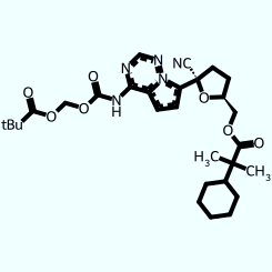 CC(C)(C)C(=O)OCOC(=O)Nc1ncnn2c([C@@]3(C#N)CC[C@@H](COC(=O)C(C)(C)C4CCCCC4)O3)ccc12